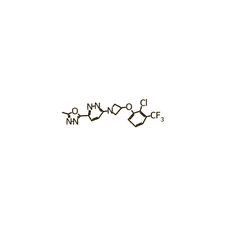 Cc1nnc(-c2ccc(N3CC(Oc4cccc(C(F)(F)F)c4Cl)C3)nn2)o1